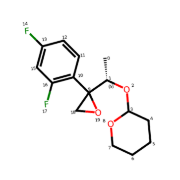 C[C@H](OC1CCCCO1)C1(c2ccc(F)cc2F)CO1